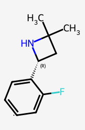 CC1(C)C[C@H](c2cc[c]cc2F)N1